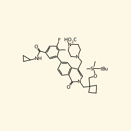 Cc1c(F)cc(C(=O)NC2CC2)cc1-c1ccc2c(=O)n(CC3(CO[Si](C)(C)C(C)(C)C)CCC3)cc(CN3CCN(C(=O)O)CC3)c2c1